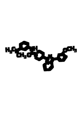 COc1cccc(-c2nc(C3CCN(C(=O)Nc4cccc(N(C)C)c4)CC3)n3ccccc23)c1